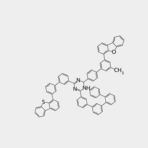 Cc1cc(-c2ccc(C3N=C(c4cccc(-c5cccc(-c6cccc7c6sc6ccccc67)c5)c4)N=C(c4cccc(-c5cccc(-c6ccccc6-c6ccccc6)c5)c4)N3)cc2)cc(-c2cccc3c2oc2ccccc23)c1